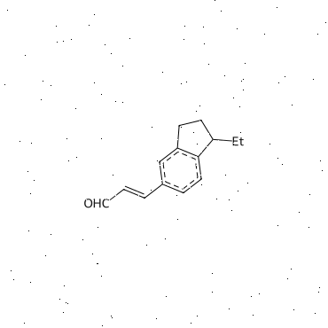 CCC1CCc2cc(C=CC=O)ccc21